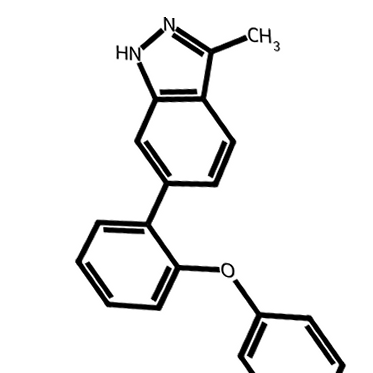 Cc1n[nH]c2cc(-c3ccccc3Oc3ccccc3)ccc12